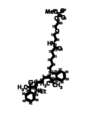 CC[N+]1=C(/C=C/C=C2/N(CCCCCC(=O)NCCOCCOP(=O)([O-])OC)c3ccccc3C2(C)C)C(C)(C)c2ccccc21